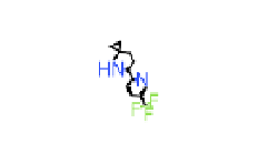 FC(F)(F)c1ccc(C2CCC3(CC3)CN2)nc1